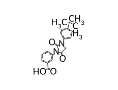 CC(C)(C)c1ccc(N2CC(=O)N(c3cccc(C(=O)O)c3)C2=O)cc1